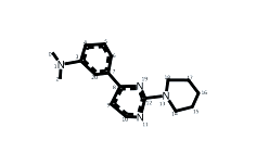 CN(C)c1cccc(-c2ccnc(N3CCCCC3)n2)c1